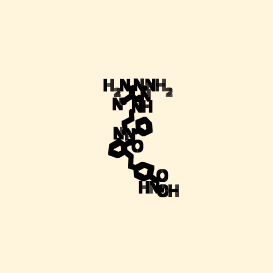 N#Cc1c(N)nc(N)nc1NCCCc1nc2cccc(CCc3ccc(C(=O)NO)cc3)c2c(=O)n1-c1ccccc1